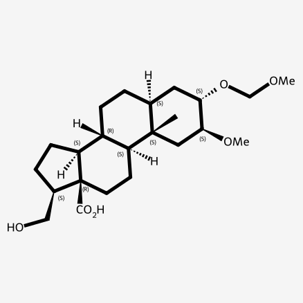 COCO[C@H]1C[C@@H]2CC[C@@H]3[C@H](CC[C@]4(C(=O)O)[C@@H](CO)CC[C@@H]34)[C@@]2(C)C[C@@H]1OC